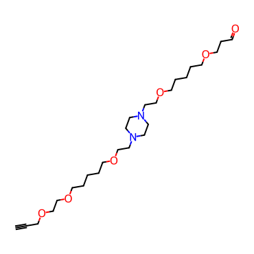 C#CCOCCOCCCCCOCCN1CCN(CCOCCCCCOCCC=O)CC1